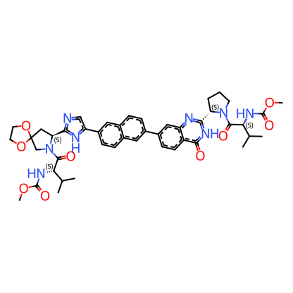 COC(=O)N[C@H](C(=O)N1CC2(C[C@H]1c1ncc(-c3ccc4cc(-c5ccc6c(=O)[nH]c([C@@H]7CCCN7C(=O)[C@@H](NC(=O)OC)C(C)C)nc6c5)ccc4c3)[nH]1)OCCO2)C(C)C